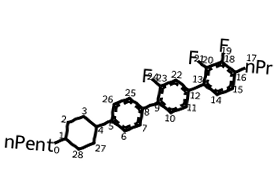 CCCCCC1CCC(c2ccc(-c3ccc(-c4ccc(CCC)c(F)c4F)cc3F)cc2)CC1